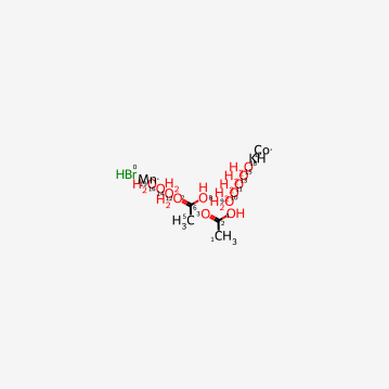 Br.CC(=O)O.CC(=O)O.O.O.O.O.O.O.O.O.[Co].[KH].[Mn]